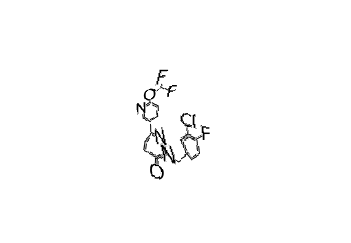 O=c1ccc(-c2ccc(OC(F)F)nc2)nn1Cc1ccc(F)c(Cl)c1